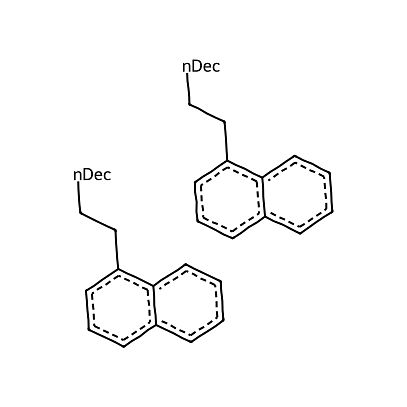 CCCCCCCCCCCCc1cccc2ccccc12.CCCCCCCCCCCCc1cccc2ccccc12